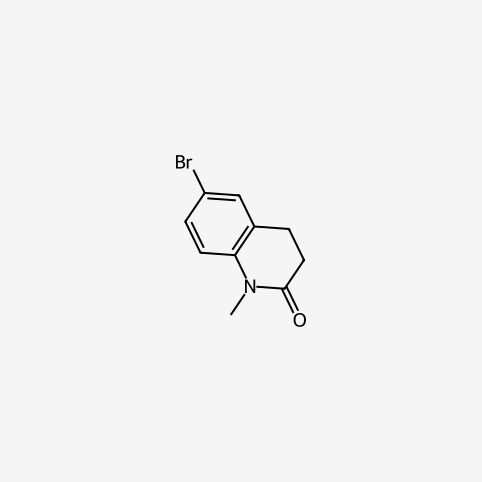 CN1C(=O)CCc2cc(Br)ccc21